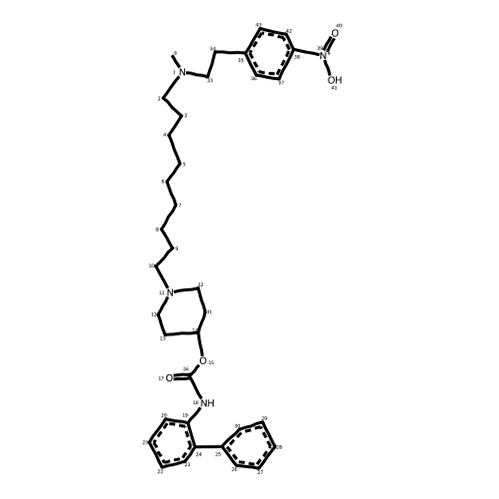 CN(CCCCCCCCCN1CCC(OC(=O)Nc2ccccc2-c2ccccc2)CC1)CCc1ccc([N+](=O)O)cc1